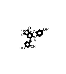 O=C1NC(=O)c2cc(Nc3ccc(O)cc3O)c(Nc3ccc(O)cc3O)cc21